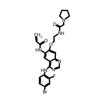 C=CC(=O)Nc1cc2c(Nc3ccc(Br)cc3F)ncnc2cc1OCCNC(=O)CN1CCCC1